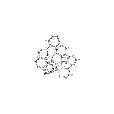 c1ccc(-c2ccc3ccc4ccc(-c5ccccc5C5(c6ccccc6)c6ccccc6Oc6ccccc65)nc4c3n2)cc1